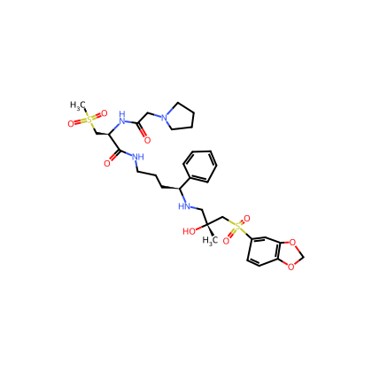 C[C@@](O)(CN[C@@H](CCCNC(=O)[C@@H](CS(C)(=O)=O)NC(=O)CN1CCCC1)c1ccccc1)CS(=O)(=O)c1ccc2c(c1)OCO2